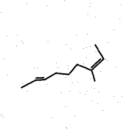 C/[C]=C(/C)CCC/C=C/C